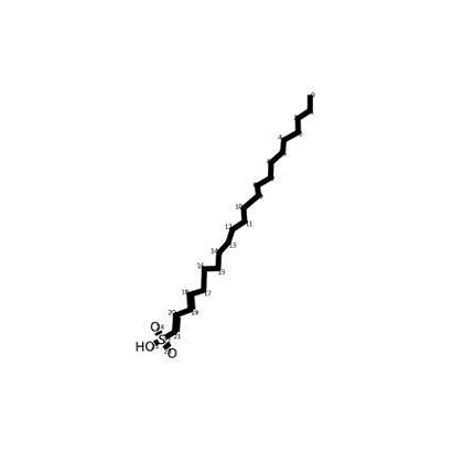 CCCCCCCCCCCCCCCCCCC=CC=CS(=O)(=O)O